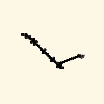 CC(C)(C)OC(=O)NOCCNC(=O)CCC(=O)NCCOCCOCCC(=O)NCCOCCOCCC(=O)NCCCC[C@H](NC(=O)CCCCCCCCCCCCCCCCC(=O)O)C(=O)OC(C)(C)C